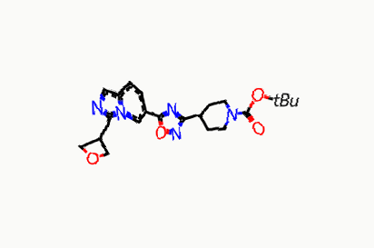 CC(C)(C)OC(=O)N1CCC(c2noc(-c3ccc4cnc(C5COC5)n4c3)n2)CC1